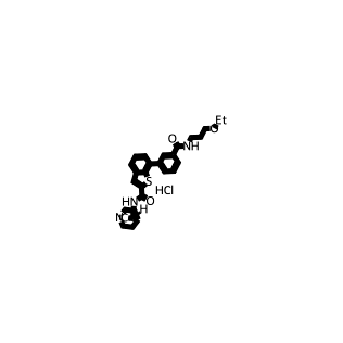 CCOCCCNC(=O)c1cccc(-c2cccc3cc(C(=O)N[C@H]4CN5CCC4CC5)sc23)c1.Cl